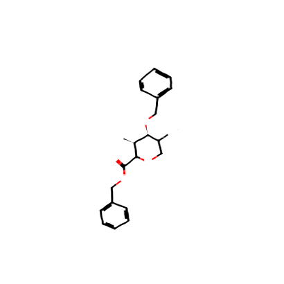 CC(=O)OC1COC(C(=O)OCc2ccccc2)[C@@H](C)[C@H]1OCc1ccccc1